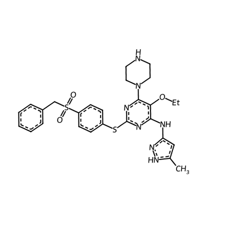 CCOc1c(Nc2cc(C)[nH]n2)nc(Sc2ccc(S(=O)(=O)Cc3ccccc3)cc2)nc1N1CCNCC1